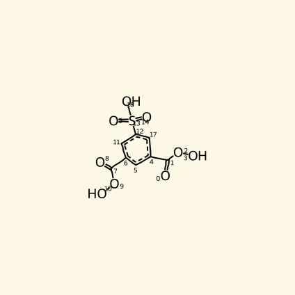 O=C(OO)c1cc(C(=O)OO)cc(S(=O)(=O)O)c1